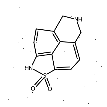 O=S1(=O)Nc2ccc3c4c(ccc1c24)CNC3